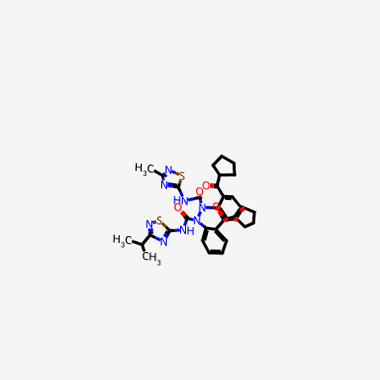 Cc1nsc(NC(=O)N(c2ccccc2C(=O)C2CCCC2)N(C(=O)Nc2nc(C(C)C)ns2)c2ccccc2C(=O)C2CCCC2)n1